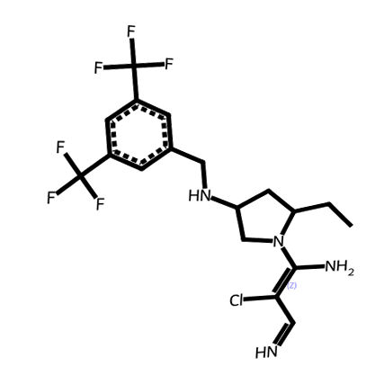 CCC1CC(NCc2cc(C(F)(F)F)cc(C(F)(F)F)c2)CN1/C(N)=C(\Cl)C=N